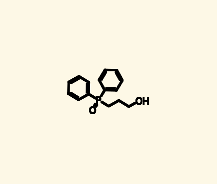 O=P(CCCO)(c1ccccc1)c1ccccc1